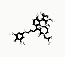 Cc1cc(OCCCc2c3n(c4c(-c5c(C)nn(C)c5C)c(Cl)ccc24)CCCN(CC(=O)O)C3=O)cc(C)c1Cl